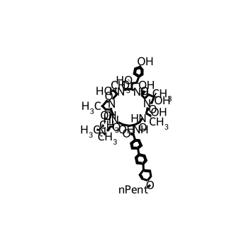 CCCCCOC1C=CC(c2ccc(-c3ccc(C(=O)NC4C[C@@H](O)C(OCC[N+](C)(C)C)NC(=O)C5[C@@H](O)[C@@H](C)CN5C(=O)C([C@@H](C)O)NC(=O)C([C@H](O)[C@@H](O)c5ccc(O)cc5)NC(=O)C5C[C@](C)(O)CN5C(=O)C([C@@H](C)O)NC4=O)cc3)cc2)=CC1